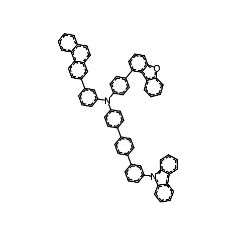 c1cc(-c2ccc3c(ccc4ccccc43)c2)cc(N(c2ccc(-c3ccc(-c4cccc(-n5c6ccccc6c6ccccc65)c4)cc3)cc2)c2ccc(-c3cccc4oc5ccccc5c34)cc2)c1